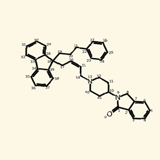 O=C1c2ccccc2CN1C1CCN(C/C=C\CC2(CCCc3ccccc3)c3ccccc3-c3ccccc32)CC1